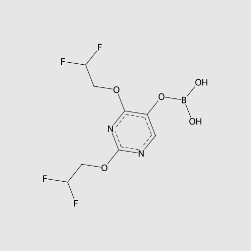 OB(O)Oc1cnc(OCC(F)F)nc1OCC(F)F